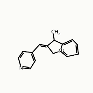 CC1C(=Cc2ccncc2)C[n+]2ccccc21